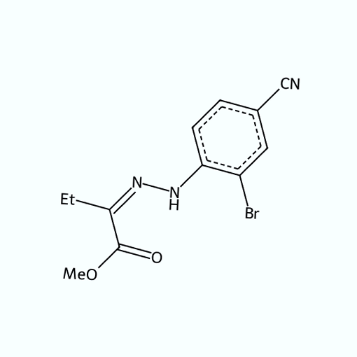 CC/C(=N/Nc1ccc(C#N)cc1Br)C(=O)OC